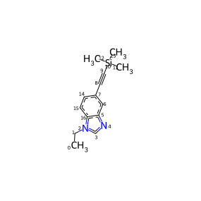 CCn1cnc2cc(C#C[Si](C)(C)C)ccc21